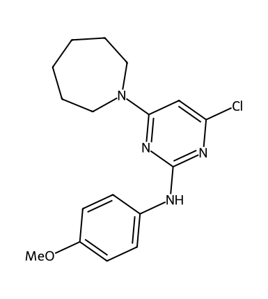 COc1ccc(Nc2nc(Cl)cc(N3CCCCCC3)n2)cc1